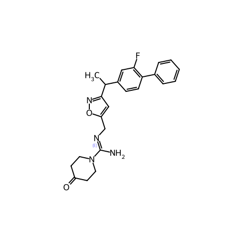 CC(c1ccc(-c2ccccc2)c(F)c1)c1cc(C/N=C(\N)N2CCC(=O)CC2)on1